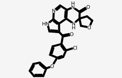 O=C(c1ccc(Oc2ccccc2)cc1Cl)c1c[nH]c2ncc3c(c12)NC1(CCOC1)C(=O)N3